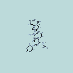 CNc1nc(-c2cccnc2)nc2c(F)c(-c3cc4ccccc4o3)ccc12